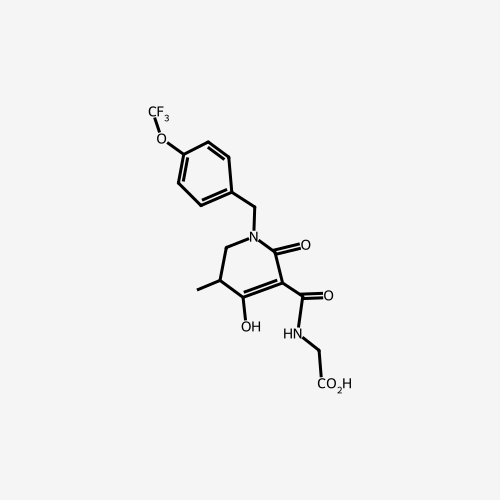 CC1CN(Cc2ccc(OC(F)(F)F)cc2)C(=O)C(C(=O)NCC(=O)O)=C1O